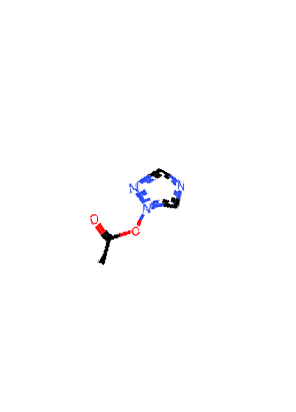 CC(=O)On1cncn1